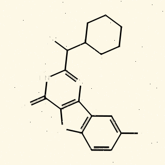 NC(c1nc2c(oc3ccc(Br)cc32)c(=O)[nH]1)C1CCCCC1